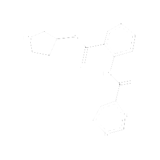 O=C(Nc1ccccc1C(=O)NC1CCNC1)c1ccncn1